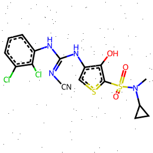 CN(C1CC1)S(=O)(=O)c1scc(NC(=NC#N)Nc2cccc(Cl)c2Cl)c1O